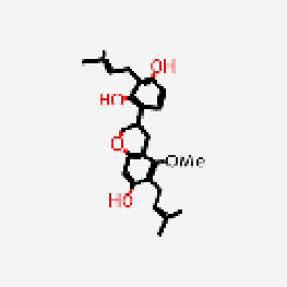 COc1c(CC=C(C)C)c(O)cc2c1CC(c1ccc(O)c(CC=C(C)C)c1O)CO2